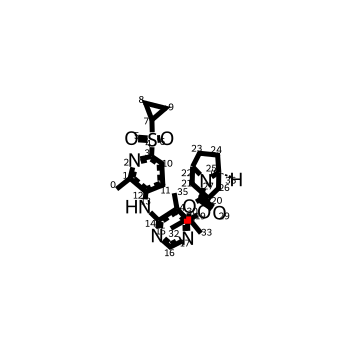 Cc1nc(S(=O)(=O)C2CC2)ccc1Nc1ncnc(OC2CC3CC[C@@H](C2)N3C(=O)OC(C)C)c1C